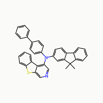 CC1(C)c2ccccc2-c2ccc(N(c3ccc(-c4ccccc4)cc3)c3cncc4sc5ccccc5c34)cc21